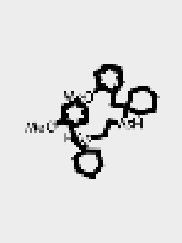 COc1ccccc1CC1([AsH]CC[AsH]C2(Cc3ccccc3OC)CCCCC2)CCCCC1